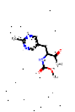 COC(=O)C(Cc1cnc(C(F)(F)F)nc1)NC(=O)OC(C)(C)C